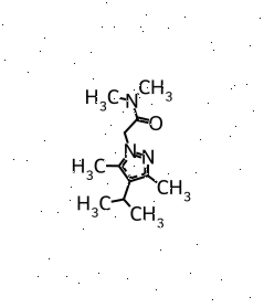 Cc1nn(CC(=O)N(C)C)c(C)c1C(C)C